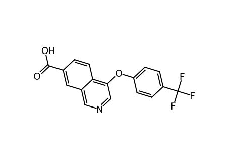 O=C(O)c1ccc2c(Oc3ccc(C(F)(F)F)cc3)cncc2c1